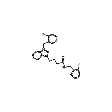 O=C(CCCc1cn(Cc2ccccc2F)c2ccccc12)NCc1ccccc1F